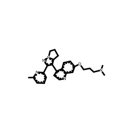 Cc1cccc(-c2nn3c(c2-c2ccnc4cc(OCCCN(C)C)ccc24)CCC3)n1